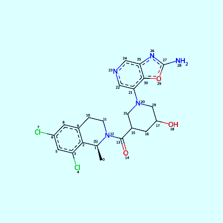 C[C@H]1c2c(Cl)cc(Cl)cc2CCN1C(=O)C1CC(O)CN(c2cncc3nc(N)oc23)C1